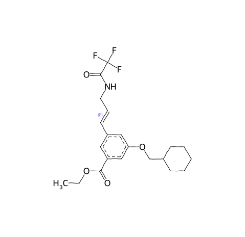 CCOC(=O)c1cc(/C=C/CNC(=O)C(F)(F)F)cc(OCC2CCCCC2)c1